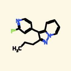 CCCc1nn2ccccc2c1-c1ccnc(F)c1